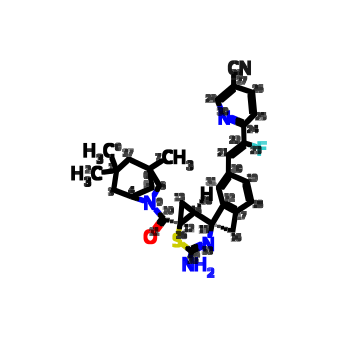 CC1(C)CC2CC(C)(CN2C(=O)[C@]23C[C@H]2[C@]2(Cc4ccc(/C=C(\F)c5ccc(C#N)cn5)cc42)N=C(N)S3)C1